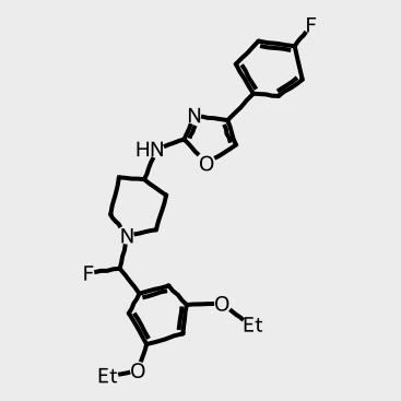 CCOc1cc(OCC)cc(C(F)N2CCC(Nc3nc(-c4ccc(F)cc4)co3)CC2)c1